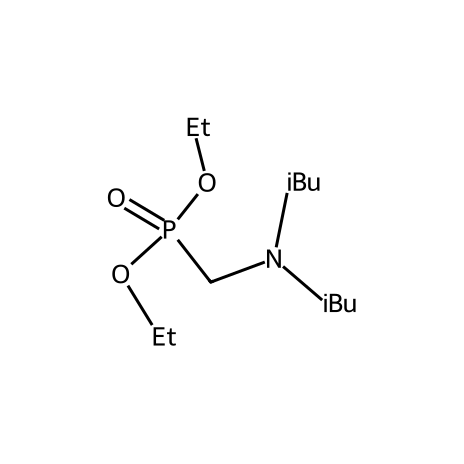 CCOP(=O)(CN(C(C)CC)C(C)CC)OCC